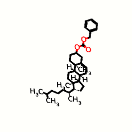 CC(C)CCC[C@@H](C)[C@H]1CC[C@H]2[C@@H]3CC=C4CC(OC(=O)OCc5ccccc5)CC[C@]4(C)[C@H]3CC[C@]12C